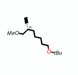 [C]#C[C@H](CCCCCOC(C)(C)C)COC